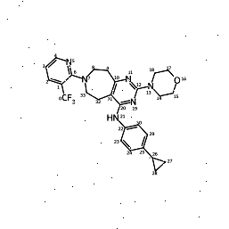 FC(F)(F)c1cccnc1N1CCc2nc(N3CCOCC3)nc(Nc3ccc([C]4CC4)cc3)c2CC1